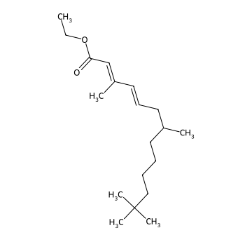 CCOC(=O)/C=C(C)/C=C/CC(C)CCCCC(C)(C)C